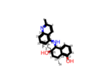 Cc1ccc2c(NC3c4cccc(O)c4[C@H](C)C[C@]3(O)C(F)(F)F)cccc2n1